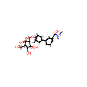 CNC(O)c1cccc(-c2ccc(OC3OC4(O)C(CO)C(O)C(O)C34)c(C)c2)c1